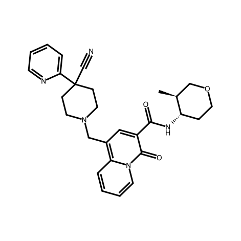 C[C@H]1COCC[C@@H]1NC(=O)c1cc(CN2CCC(C#N)(c3ccccn3)CC2)c2ccccn2c1=O